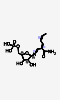 C\C=C/C=C(\C=N\[C@@H]1O[C@H](COP(=O)(O)O)C(O)[C@@H]1O)C(N)=O